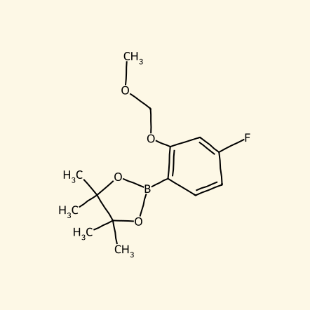 COCOc1cc(F)ccc1B1OC(C)(C)C(C)(C)O1